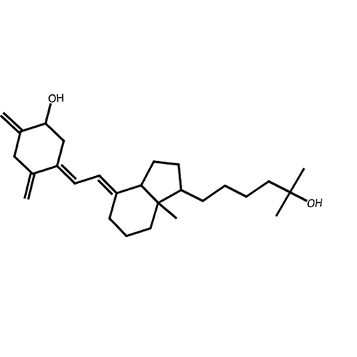 C=C1CC(=C)C(O)C/C1=C\C=C1/CCCC2(C)C(CCCCC(C)(C)O)CCC12